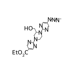 CCOC(=O)c1cnc(N2CCN(c3ncc(N=[N+]=[N-])cn3)C(CO)C2)nc1